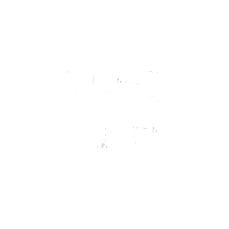 CN(Cc1ccc(Cl)c(N2CC3COCC3C2)c1)C1(C)CCNCC1